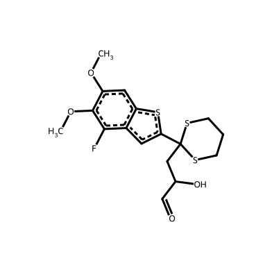 COc1cc2sc(C3(CC(O)C=O)SCCCS3)cc2c(F)c1OC